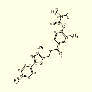 Cc1cc(C(=O)CCc2sc(-c3ccc(C(F)(F)F)cc3)nc2C(C)C)ccc1OC(=S)N(C)C